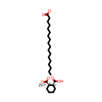 CCCCCCCCCCCCCCCCCC(=O)[O-].O=C(O)[C@H]1CCCC[C@H]1C(=O)[O-].[Zn+2]